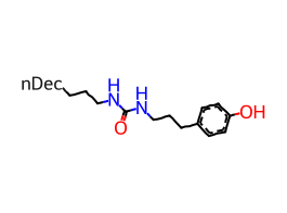 CCCCCCCCCCCCCNC(=O)NCCCc1ccc(O)cc1